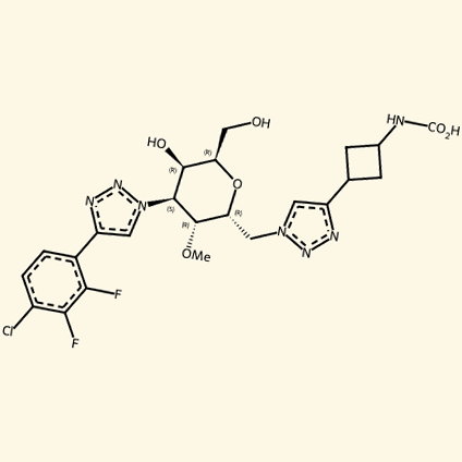 CO[C@@H]1[C@@H](n2cc(-c3ccc(Cl)c(F)c3F)nn2)[C@@H](O)[C@@H](CO)O[C@@H]1Cn1cc(C2CC(NC(=O)O)C2)nn1